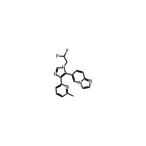 Cc1cccc(-c2ncn(CC(F)F)c2-c2ccc3nccn3c2)n1